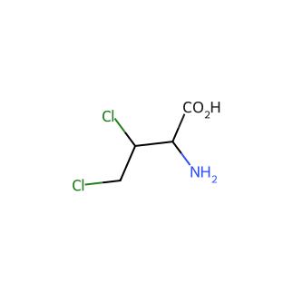 NC(C(=O)O)C(Cl)CCl